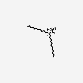 CCC(O)Cl.CCCCCCCCCCCC[N+](C)(C)CCCCCCCCCCCC